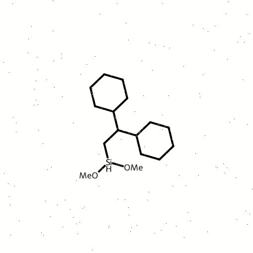 CO[SiH](CC(C1CCCCC1)C1CCCCC1)OC